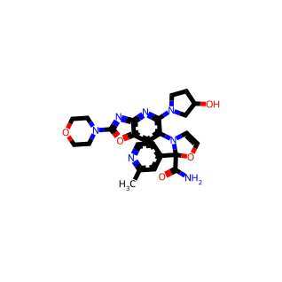 Cc1cc(C2(C(N)=O)OC=CN2c2cc3oc(N4CCOCC4)nc3nc2N2CCC(O)C2)ccn1